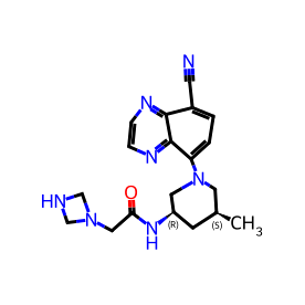 C[C@H]1C[C@@H](NC(=O)CN2CNC2)CN(c2ccc(C#N)c3nccnc23)C1